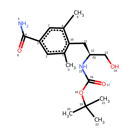 Cc1cc(C(N)=O)cc(C)c1C[C@@H](CO)NC(=O)OC(C)(C)C